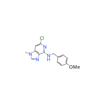 COc1ccc(CNc2nc(Cl)cc3c2ncn3C)cc1